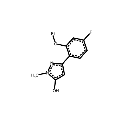 CCOc1cc(F)ccc1-c1cc(O)n(C)n1